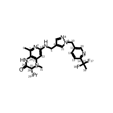 Cc1nc(NCc2cnn(Cc3ccc(C(C)(F)F)nc3)c2)cc2c1NC(=O)[C@H](C(C)C)N2C